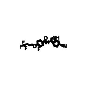 N#Cc1ccc2c(NC(=O)c3ccc(OCCCC(F)(F)F)c(F)c3)c[nH]c2c1